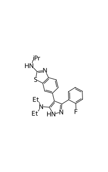 CCN(CC)c1[nH]nc(-c2ccccc2F)c1-c1ccc2nc(NC(C)C)sc2c1